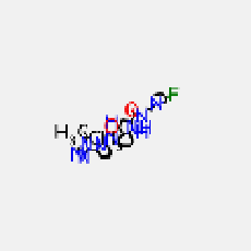 CC(C)n1cnnc1-c1cccc(Nc2cccc3[nH]c(C(=O)NCCN4CCC(F)C4)cc(=O)c23)n1